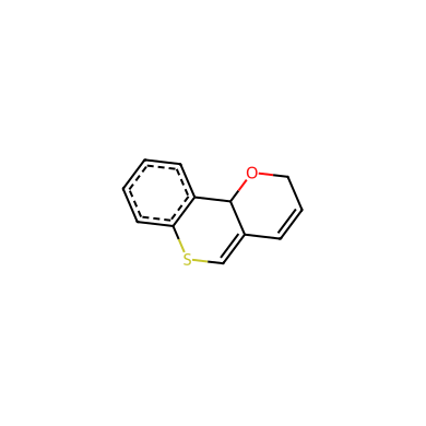 C1=CC2=CSc3ccccc3C2OC1